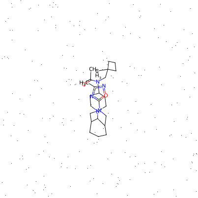 CC(=O)N(CC1(C)CCC1)C1CCN(C2C3CCCC2CN(c2nc(C)no2)C3)CC1